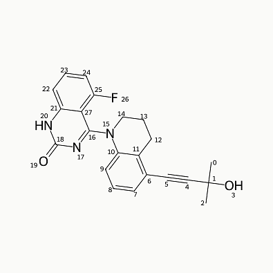 CC(C)(O)C#Cc1cccc2c1CCCN2c1nc(=O)[nH]c2cccc(F)c12